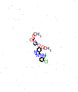 COCC(=O)N1CC[C@@H](Oc2cc3ncnc(Nc4cccc(Cl)c4F)c3cc2OC)C1